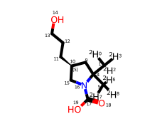 [2H]C([2H])([2H])C1(C([2H])([2H])[2H])C[C@H](CCCO)CN1C(=O)O